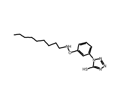 CCCCCCCCCNOc1cccc(-n2nnnc2S)c1